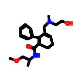 COCC(C)NC(=O)C1=C(c2ccccc2)C(CN(C)CCO)=CC[CH]1